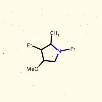 CCC1C(OC)CN(C(C)C)C1C